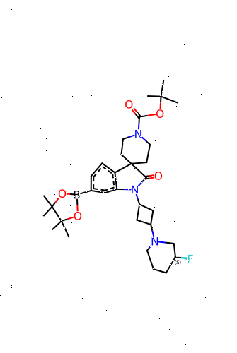 CC(C)(C)OC(=O)N1CCC2(CC1)C(=O)N(C1CC(N3CCC[C@H](F)C3)C1)c1cc(B3OC(C)(C)C(C)(C)O3)ccc12